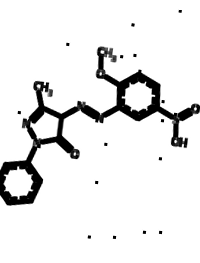 COc1ccc(S(=O)O)cc1N=NC1C(=O)N(c2ccccc2)N=C1C